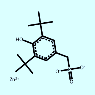 CC(C)(C)c1cc(CP(=O)([O-])[O-])cc(C(C)(C)C)c1O.[Zn+2]